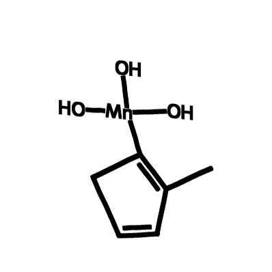 CC1=[C]([Mn]([OH])([OH])[OH])CC=C1